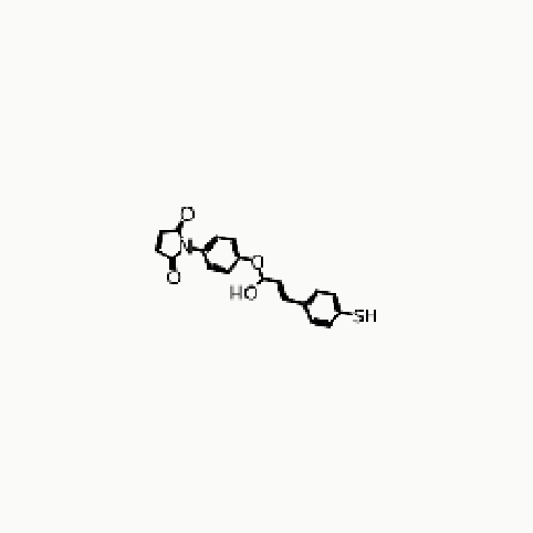 O=C1C=CC(=O)N1c1ccc(OC(O)/C=C/c2ccc(S)cc2)cc1